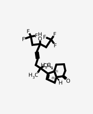 CC(C)(CC#CC(O)(CC(F)(F)F)CC(F)(F)F)C1=CC[C@H]2C(=O)CCC[C@]12C